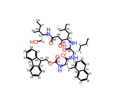 CCCC[C@H](NC(=O)[C@H](Cc1cccc2ccccc12)NC(=O)OCC1c2ccccc2-c2ccccc21)C(=O)NC(CC(C)C)C(O)CC(=O)N[C@H](CO)C(C)CC